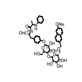 COc1ccc2cc(COC[C@H]3O[C@H](O[C@H]4[C@H](O)[C@H](O)[C@@H](Oc5ccc(C[C@H]([C]=O)NC(=O)C(C)Nc6ccccc6)cc5)O[C@@H]4CO)[C@@H](O)[C@@H](O)[C@@H]3O)ccc2c1